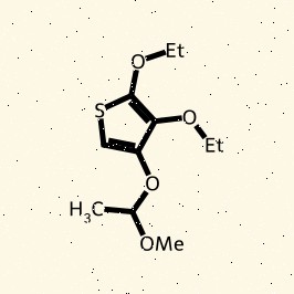 CCOc1scc(OC(C)OC)c1OCC